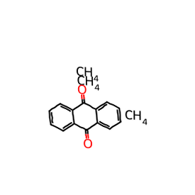 C.C.C.O=C1c2ccccc2C(=O)c2ccccc21